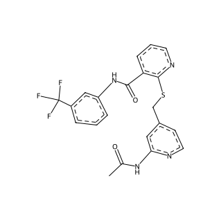 CC(=O)Nc1cc(CSc2ncccc2C(=O)Nc2cccc(C(F)(F)F)c2)ccn1